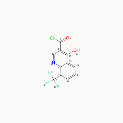 O=C(Cl)c1cnc2c(C(F)(F)F)cccc2c1O